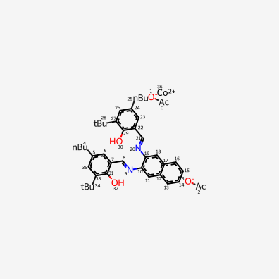 CC(=O)[O-].CC(=O)[O-].CCCCc1cc(C=Nc2cc3ccccc3cc2N=Cc2cc(CCCC)cc(C(C)(C)C)c2O)c(O)c(C(C)(C)C)c1.[Co+2]